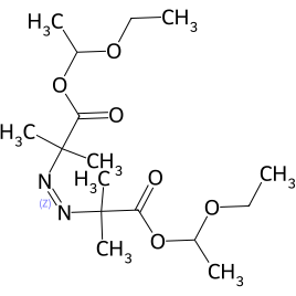 CCOC(C)OC(=O)C(C)(C)/N=N\C(C)(C)C(=O)OC(C)OCC